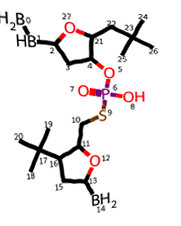 BBC1CC(OP(=O)(O)SCC2OC(B)CC2C(C)(C)C)C(CC(C)(C)C)O1